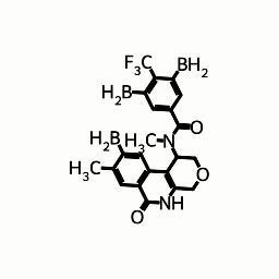 Bc1cc2c3c([nH]c(=O)c2cc1C)COCC3N(C)C(=O)c1cc(B)c(C(F)(F)F)c(B)c1